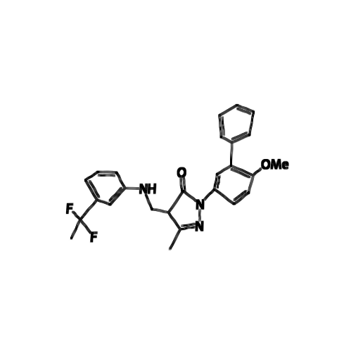 COc1ccc(N2N=C(C)C(CNc3cccc(C(C)(F)F)c3)C2=O)cc1-c1ccccc1